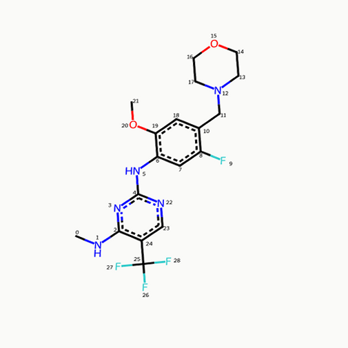 CNc1nc(Nc2cc(F)c(CN3CCOCC3)cc2OC)ncc1C(F)(F)F